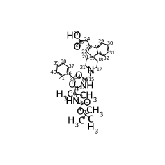 CC(C)(C)OC(=O)NC(C)(C)C(=O)N[C@@H](CN1CCC2(CC1)CC(CC(=O)O)c1ccccc12)OCc1ccccc1